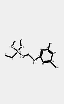 CC[Si](OC)(OC)OCNc1cc(C)cc(C)c1